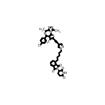 Cc1c(C#Cc2cnn(CCCCCc3cccc4c3C(=O)N(C3CCC(=O)NC3=O)C4=O)c2)sc2c1C(c1ccc(Cl)cc1)=N[C@@H](C)c1nnc(C)n1-2